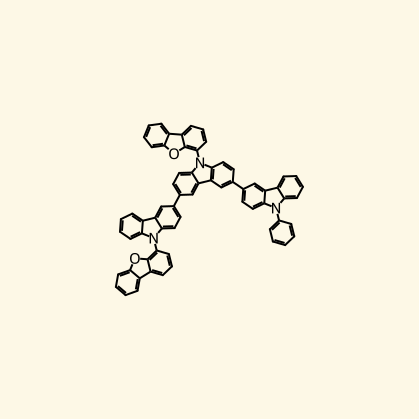 c1ccc(-n2c3ccccc3c3cc(-c4ccc5c(c4)c4cc(-c6ccc7c(c6)c6ccccc6n7-c6cccc7c6oc6ccccc67)ccc4n5-c4cccc5c4oc4ccccc45)ccc32)cc1